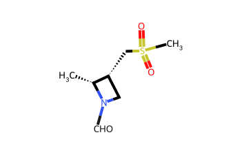 C[C@@H]1[C@H](CS(C)(=O)=O)CN1C=O